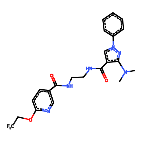 CN(C)c1nn(-c2ccccc2)cc1C(=O)NCCNC(=O)c1ccc(OCC(F)(F)F)nc1